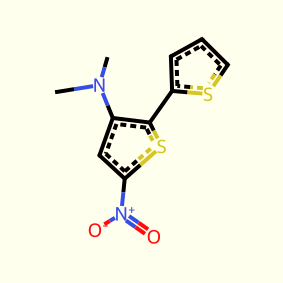 CN(C)c1cc([N+](=O)[O-])sc1-c1cccs1